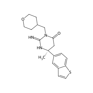 C[C@@]1(c2ccc3sccc3c2)CC(=O)N(CC2CCOCC2)C(=N)N1